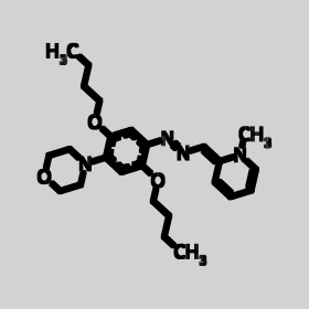 CCCCOc1cc(N2CCOCC2)c(OCCCC)cc1N=N/C=C1\C=CC=CN1C